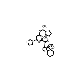 C[C@H](Oc1cc([C@H]2CCOC2)nc(C(=O)C2CCC[C@@]3(CCCCC34OCCO4)C2=O)n1)[C@@H]1CCCN1C